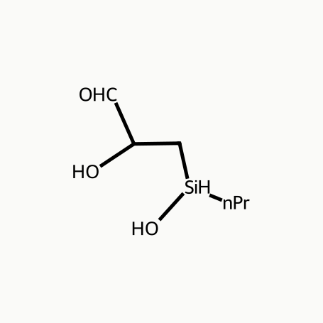 CCC[SiH](O)CC(O)C=O